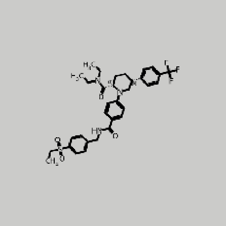 CCN(CC)C(=O)[C@@H]1CC[C@H](c2ccc(C(F)(F)F)cc2)CN1c1ccc(C(=O)NCc2ccc(S(=O)(=O)CC)cc2)cc1